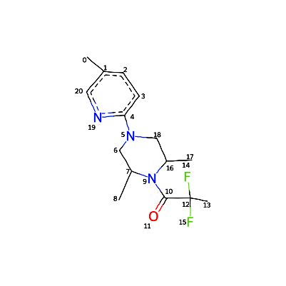 Cc1ccc(N2CC(C)N(C(=O)C(C)(F)F)C(C)C2)nc1